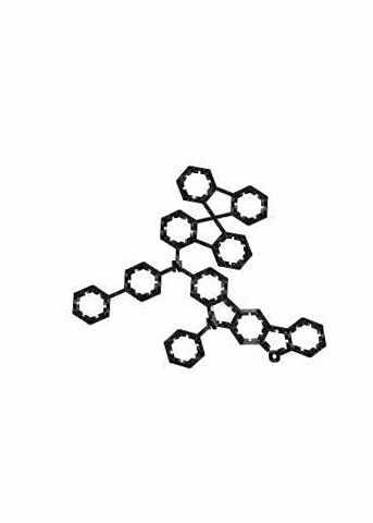 c1ccc(-c2ccc(N(c3ccc4c5cc6c(cc5n(-c5ccccc5)c4c3)oc3ccccc36)c3cccc4c3-c3ccccc3C43c4ccccc4-c4ccccc43)cc2)cc1